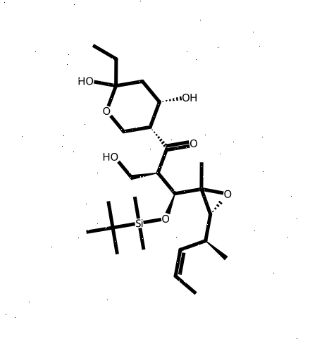 C/C=C\[C@H](C)[C@H]1OC1(C)[C@@H](O[Si](C)(C)C(C)(C)C)[C@@H](CO)C(=O)[C@@H]1COC(O)(CC)C[C@@H]1O